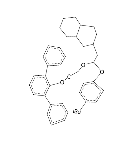 CCC(C)c1ccc(OC(CC2CCC3CCCCC3C2)OCCOc2c(-c3ccccc3)cccc2-c2ccccc2)cc1